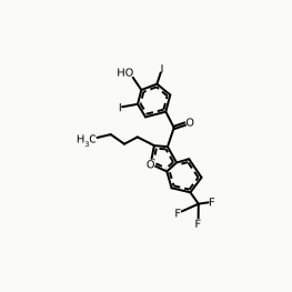 CCCCc1oc2cc(C(F)(F)F)ccc2c1C(=O)c1cc(I)c(O)c(I)c1